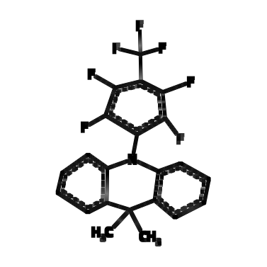 CC1(C)c2ccccc2N(c2c(F)c(F)c(C(F)(F)F)c(F)c2F)c2ccccc21